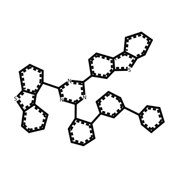 c1ccc(-c2cccc(-c3ccccc3-c3nc(-c4ccc5c(c4)sc4ccccc45)nc(-c4cccc5sc6ccccc6c45)n3)c2)cc1